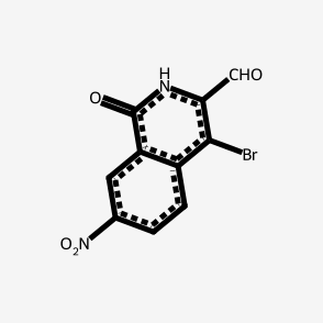 O=Cc1[nH]c(=O)c2cc([N+](=O)[O-])ccc2c1Br